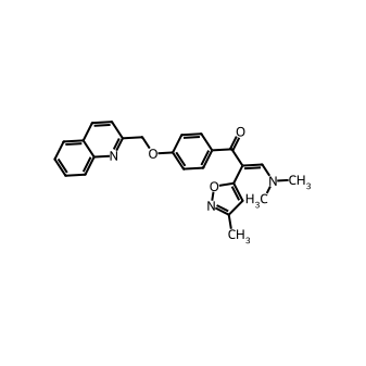 Cc1cc(C(=CN(C)C)C(=O)c2ccc(OCc3ccc4ccccc4n3)cc2)on1